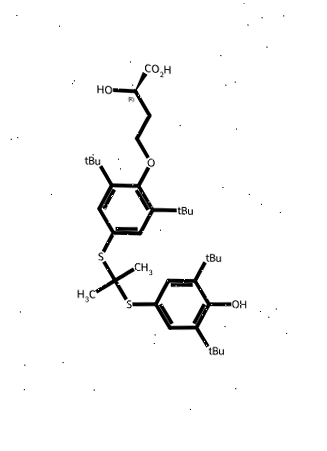 CC(C)(Sc1cc(C(C)(C)C)c(O)c(C(C)(C)C)c1)Sc1cc(C(C)(C)C)c(OCC[C@@H](O)C(=O)O)c(C(C)(C)C)c1